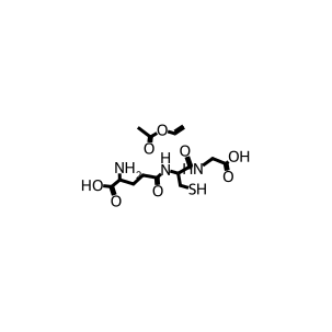 C=COC(C)=O.NC(CCC(=O)NC(CS)C(=O)NCC(=O)O)C(=O)O